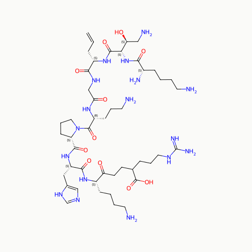 C=CC[C@H](NC(=O)[C@@H](NC(=O)[C@@H](N)CCCCN)[C@@H](O)CN)C(=O)NCC(=O)N[C@H](CCCN)C(=O)N1CCC[C@H]1C(=O)N[C@@H](Cc1cnc[nH]1)C(=O)N[C@@H](CCCCN)C(=O)CCC(CCCNC(=N)N)C(=O)O